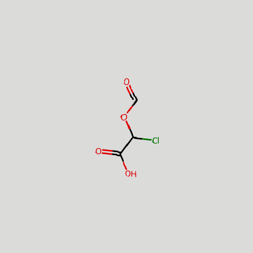 O=COC(Cl)C(=O)O